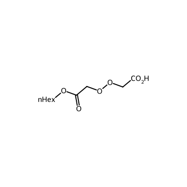 CCCCCCOC(=O)COOCC(=O)O